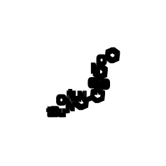 Cn1c(=O)n(CC(C)(C)C)c2ccc(C3CCCN(S(=O)(=O)c4ccc(Oc5ccccc5)nc4)C3)nc21